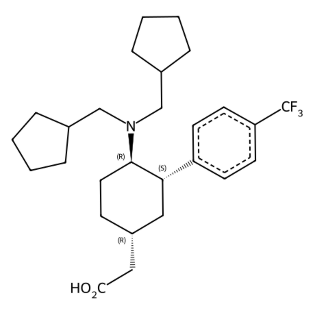 O=C(O)C[C@@H]1CC[C@@H](N(CC2CCCC2)CC2CCCC2)[C@H](c2ccc(C(F)(F)F)cc2)C1